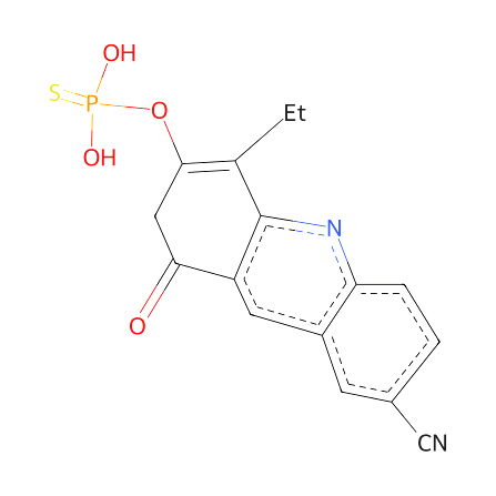 CCC1=C(OP(O)(O)=S)CC(=O)c2cc3cc(C#N)ccc3nc21